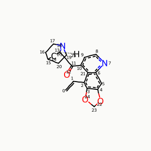 C=Cc1c2c(cc3nccc(C(=O)[C@H]4CC5CCN4CC5)c13)OCO2